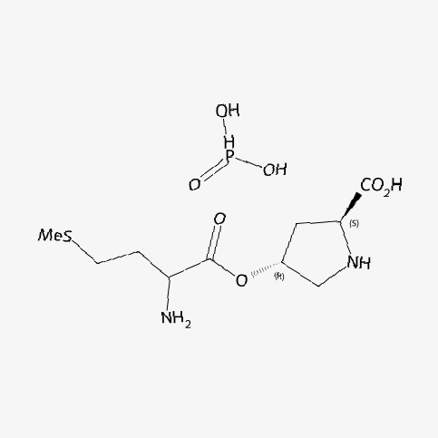 CSCCC(N)C(=O)O[C@H]1CN[C@H](C(=O)O)C1.O=[PH](O)O